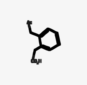 CC(=O)Cc1ccccc1CC(=O)O